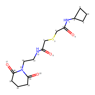 O=C(CSCC(=O)NC1CCC1)NCCN1C(=O)CCCC1=O